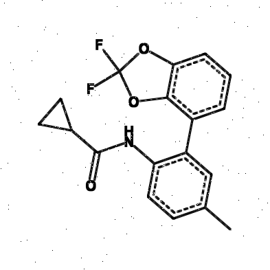 Cc1ccc(NC(=O)C2CC2)c(-c2cccc3c2OC(F)(F)O3)c1